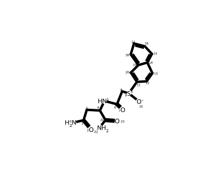 NC(=O)CC(NC(=O)C[S+]([O-])c1ccc2ccccc2c1)C(N)=O